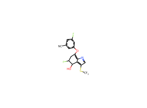 N#Cc1cc(F)cc(OC2=C3N=CC(SC(F)(F)F)=C3C(O)C(F)C2)c1